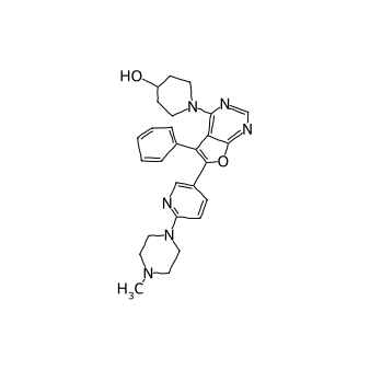 CN1CCN(c2ccc(-c3oc4ncnc(N5CCC(O)CC5)c4c3-c3ccccc3)cn2)CC1